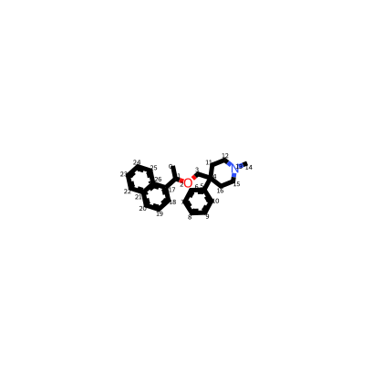 CC(OCC1(c2ccccc2)CCN(C)CC1)c1cccc2ccccc12